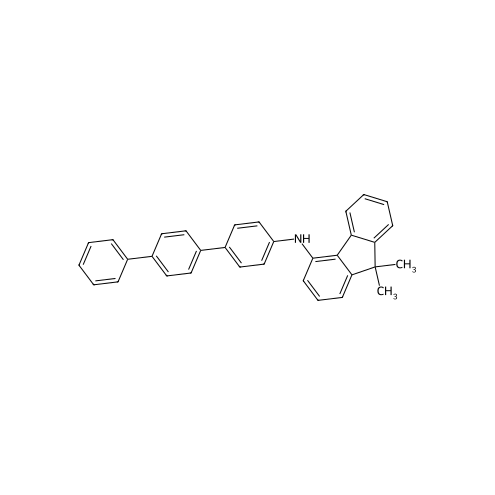 CC1(C)c2ccccc2-c2c(Nc3ccc(-c4ccc(-c5ccccc5)cc4)cc3)cccc21